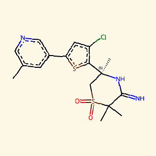 Cc1cncc(-c2cc(Cl)c([C@]3(C)CS(=O)(=O)C(C)(C)C(=N)N3)s2)c1